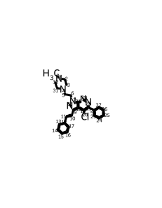 CN1CCN(CCn2nc(C=Cc3ccccc3)c3c(Cl)c(-c4ccccc4)nnc32)CC1